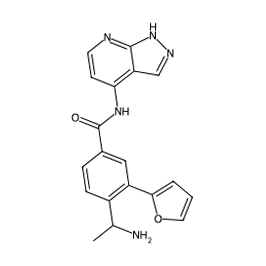 CC(N)c1ccc(C(=O)Nc2ccnc3[nH]ncc23)cc1-c1ccco1